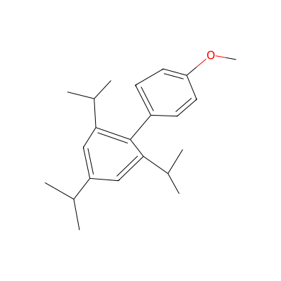 COc1ccc(-c2c(C(C)C)cc(C(C)C)cc2C(C)C)cc1